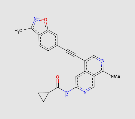 CNc1ncc(C#Cc2ccc3c(C)noc3c2)c2cc(NC(=O)C3CC3)ncc12